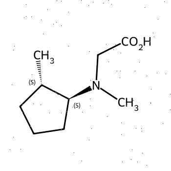 C[C@H]1CCC[C@@H]1N(C)CC(=O)O